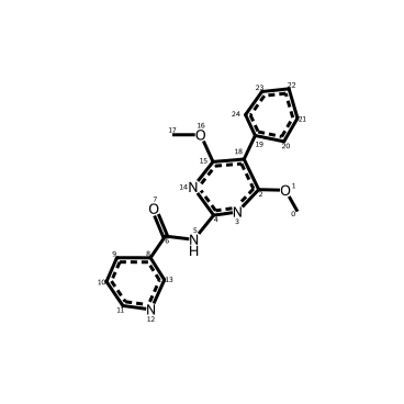 COc1nc(NC(=O)c2cccnc2)nc(OC)c1-c1ccccc1